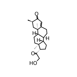 C[C@@H]1C[C@@]2(C)C(=CC1=O)CC[C@H]1[C@@H]3CC[C@H](C(=O)CO)[C@@]3(C)CC[C@@H]12